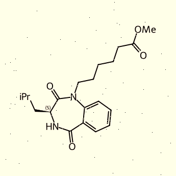 COC(=O)CCCCCN1C(=O)[C@H](CC(C)C)NC(=O)c2ccccc21